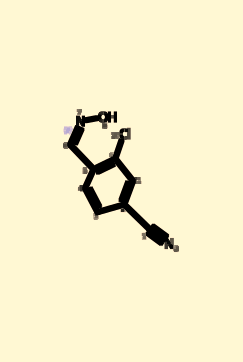 N#Cc1ccc(/C=N\O)c(Cl)c1